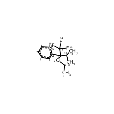 CCOC(c1ccccn1)(C(C)C)C(F)(F)F